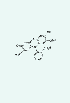 COc1cc2c(-c3ccccc3C(=O)O)c3cc(OC)c(=O)cc-3oc2cc1O